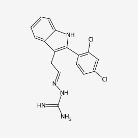 N=C(N)NN=CCc1c(-c2ccc(Cl)cc2Cl)[nH]c2ccccc12